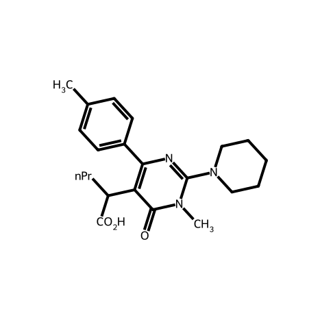 CCCC(C(=O)O)c1c(-c2ccc(C)cc2)nc(N2CCCCC2)n(C)c1=O